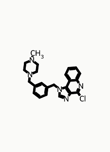 CN1CCN(Cc2cccc(Cn3cnc4c(Cl)nc5ccccc5c43)c2)CC1